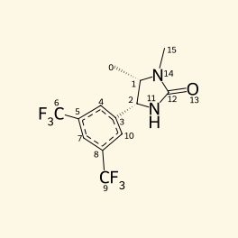 C[C@H]1[C@@H](c2cc(C(F)(F)F)cc(C(F)(F)F)c2)NC(=O)N1C